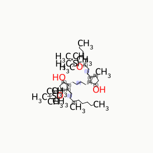 CCCCC[C@H](C)/C=C/[C@@H]1[C@@H](C/C=C/C[C@@H]2[C@@H](/C=C/[C@H](CCCCC)O[Si](C)(C)C(C)(C)C)[C@H](C)C[C@@H]2O)[C@@H](O)C[C@H]1O[Si](C)(C)C(C)(C)C